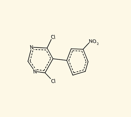 O=[N+]([O-])c1cccc(-c2c(Cl)ncnc2Cl)c1